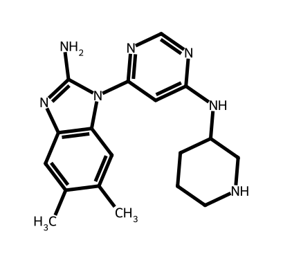 Cc1cc2nc(N)n(-c3cc(NC4CCCNC4)ncn3)c2cc1C